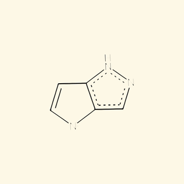 [C]1=C[N]c2[c]n[nH]c21